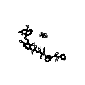 COc1cc(C)nc2c(OCc3c(Cl)ccc(N(C)C(=O)CNC(=O)Nc4cccc(C(=O)Nc5ccncc5)c4)c3Cl)cccc12.Cl.Cl